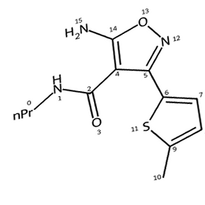 CCCNC(=O)c1c(-c2ccc(C)s2)noc1N